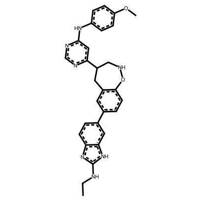 CCNc1nc2ccc(-c3ccc4c(c3)CC(c3cc(Nc5ccc(OC)cc5)ncn3)CNO4)cc2[nH]1